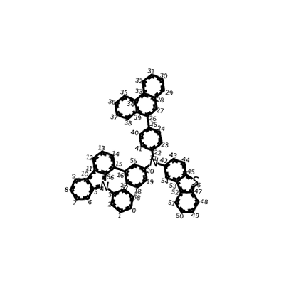 c1ccc(-n2c3ccccc3c3cccc(-c4cccc(N(c5ccc(-c6cc7ccccc7c7ccccc67)cc5)c5ccc6sc7ccccc7c6c5)c4)c32)cc1